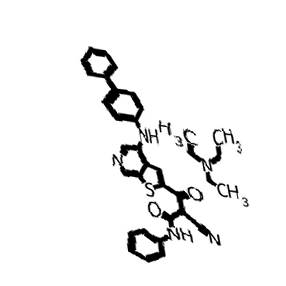 CCN(CC)CC.N#CC(C(=O)Nc1ccccc1)C(=O)c1cc2c(Nc3ccc(-c4ccccc4)cc3)cncc2s1